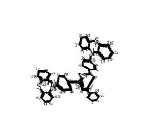 c1ccc(-c2cc(-c3ccc(N4c5ccccc5Sc5ccccc54)cc3)nc(-c3ccc(N4c5ccccc5Sc5ccccc54)cc3)c2)cc1